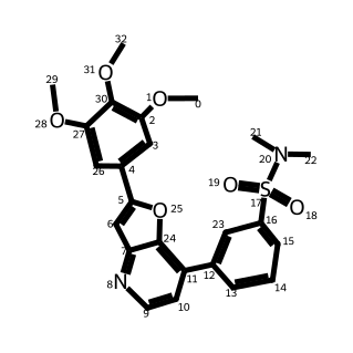 COc1cc(-c2cc3nccc(-c4cccc(S(=O)(=O)N(C)C)c4)c3o2)cc(OC)c1OC